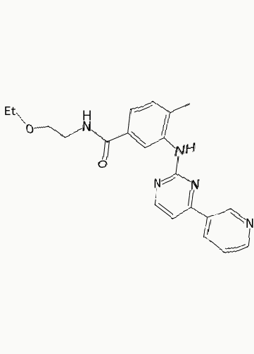 CCOCCNC(=O)c1ccc(C)c(Nc2nccc(-c3cccnc3)n2)c1